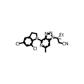 CC[C@H](CC#N)n1nnc2c(N3CCc4cc(Cl)cc(Cl)c43)nc(C)cc21